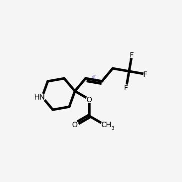 CC(=O)OC1(/C=C/CC(F)(F)F)CCNCC1